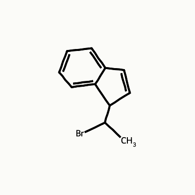 CC(Br)C1C=Cc2ccccc21